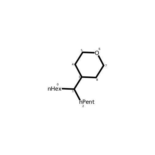 CCCCCCC(CCCCC)C1CCOCC1